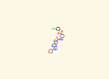 CC1(C)c2cnc(NC3CCOCC3)nc2CN1C(=O)NC1CCCN(S(=O)(=O)c2cccc(Cl)c2)C1